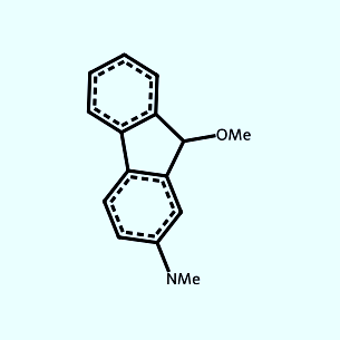 CNc1ccc2c(c1)C(OC)c1ccccc1-2